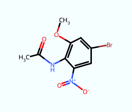 COc1cc(Br)cc([N+](=O)[O-])c1NC(C)=O